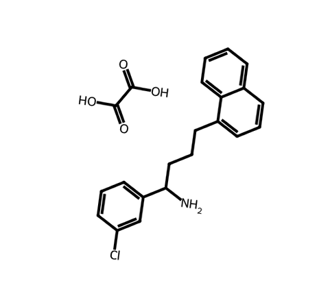 NC(CCCc1cccc2ccccc12)c1cccc(Cl)c1.O=C(O)C(=O)O